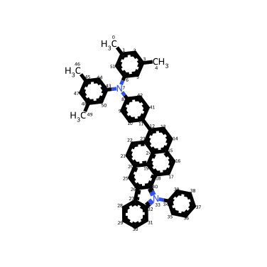 Cc1cc(C)cc(N(c2ccc(-c3ccc4ccc5c6c(ccc3c46)cc3c4ccccc4n(-c4ccccc4)c35)cc2)c2cc(C)cc(C)c2)c1